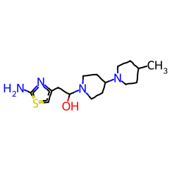 CC1CCN(C2CCN(C(O)Cc3csc(N)n3)CC2)CC1